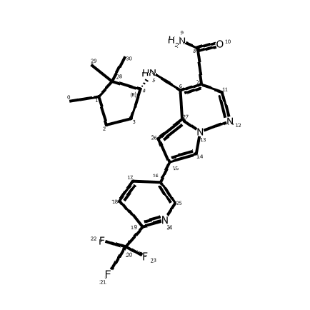 CC1CC[C@@H](Nc2c(C(N)=O)cnn3cc(-c4ccc(C(F)(F)F)nc4)cc23)C1(C)C